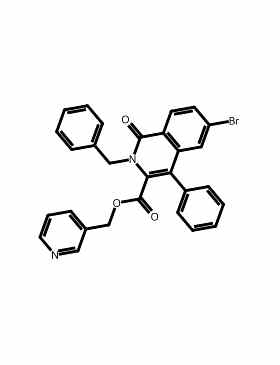 O=C(OCc1cccnc1)c1c(-c2ccccc2)c2cc(Br)ccc2c(=O)n1Cc1ccccc1